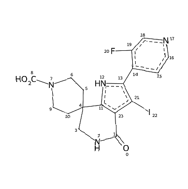 O=C1NCC2(CCN(C(=O)O)CC2)c2[nH]c(-c3ccncc3F)c(I)c21